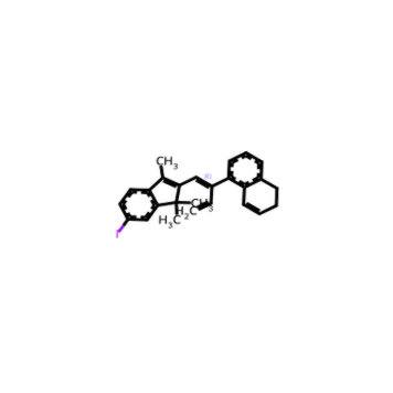 C=C/C(=C\C1=C(C)c2ccc(I)cc2C1(C)C)c1cccc2c1C=CCC2